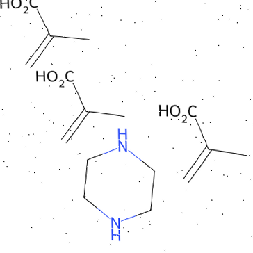 C1CNCCN1.C=C(C)C(=O)O.C=C(C)C(=O)O.C=C(C)C(=O)O